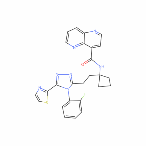 O=C(NC1(CCc2nnc(-c3nccs3)n2-c2ccccc2F)CCC1)c1ccnc2cccnc12